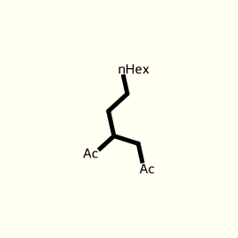 CCCCCCCCC(CC(C)=O)C(C)=O